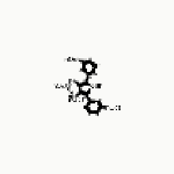 CCCCCCCCc1cccc(C2=C(CC)C(CC)=C(c3cccc(CCCCCCCC)c3)[N+]2=[N-])c1.CCCCCCC[CH2][Ni][CH2]CCCCCCC